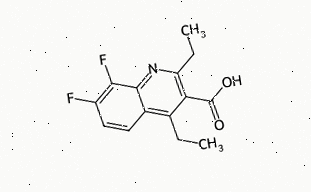 CCc1nc2c(F)c(F)ccc2c(CC)c1C(=O)O